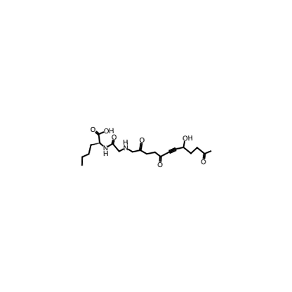 CCCC[C@H](NC(=O)CNCC(=O)CCC(=O)C#CC(O)CCC(C)=O)C(=O)O